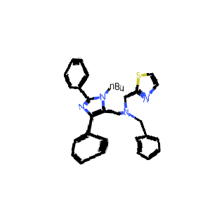 CCCCn1c(-c2ccccc2)nc(-c2ccccc2)c1CN(Cc1ccccc1)Cc1nccs1